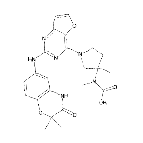 CN(C(=O)O)C1(C)CCN(c2nc(Nc3ccc4c(c3)NC(=O)C(C)(C)O4)nc3ccoc23)C1